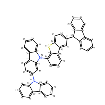 c1ccc2c(c1)-c1ccccc1C2c1ccc2sc3c(-n4c5ccccc5c5ccc(-n6c7ccccc7c7ccccc76)cc54)cccc3c2c1